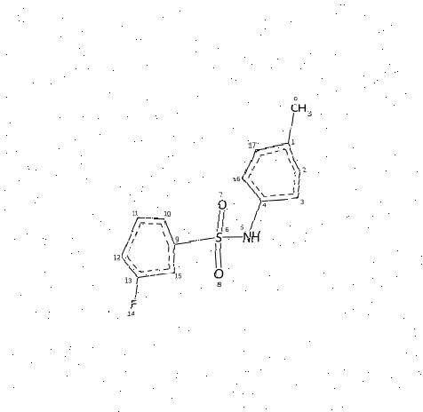 Cc1ccc(NS(=O)(=O)c2cccc(F)c2)cc1